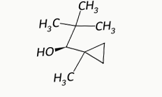 CC(C)(C)[C@H](O)C1(C)CC1